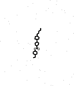 CCCCCC1CCC(C2CCC(C(=O)OC3CCC(CC)CC3)CC2)CC1